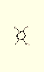 CCCc1cc(N)c(F)cc1CC